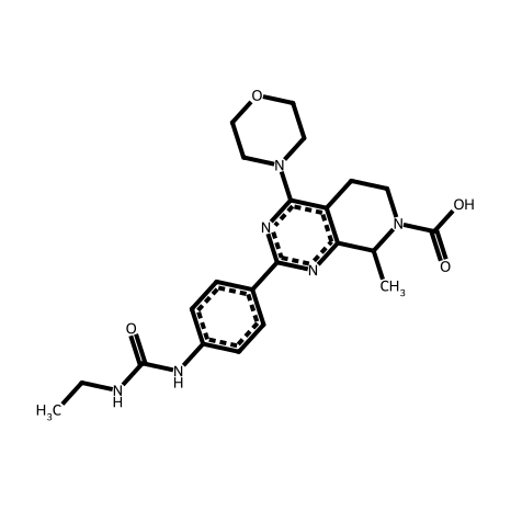 CCNC(=O)Nc1ccc(-c2nc3c(c(N4CCOCC4)n2)CCN(C(=O)O)C3C)cc1